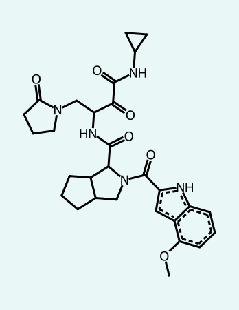 COc1cccc2[nH]c(C(=O)N3CC4CCCC4C3C(=O)NC(CN3CCCC3=O)C(=O)C(=O)NC3CC3)cc12